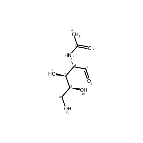 CC(=O)N[C@H](C=O)[C@H](O)[C@@H](O)CO